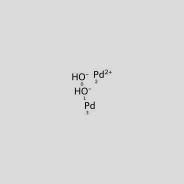 [OH-].[OH-].[Pd+2].[Pd]